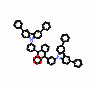 c1ccc(-c2ccc3c(c2)c2cc(-c4ccccc4)ccc2n3-c2cccc(C34c5ccccc5C(c5cccc(-n6c7ccc(-c8ccccc8)cc7c7cc(-c8ccccc8)ccc76)c5)(c5ccccc53)c3ccccc34)c2)cc1